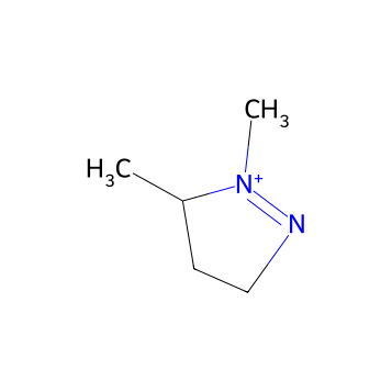 CC1CCN=[N+]1C